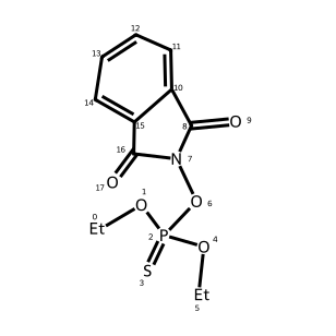 CCOP(=S)(OCC)ON1C(=O)c2ccccc2C1=O